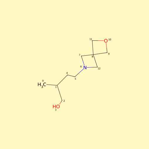 CC(CO)CCN1CC2(COC2)C1